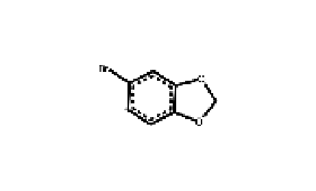 Brc1[c]cc2c(c1)OCO2